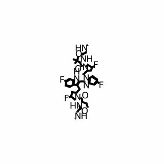 CCC(NC(=O)CNC)C(=O)N1CC(F)CC1Cc1c(-c2nc3cc(F)ccc3n2CC2CC(F)CN2C(=O)C(NC(=O)CNC)C(C)(C)C)[nH]c2cc(F)ccc12